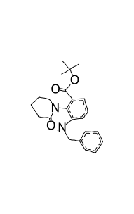 CN(Cc1ccccc1)c1cccc(C(=O)OC(C)(C)C)c1N1CCCCC1=O